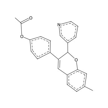 CC(=O)Oc1ccc(C2=Cc3ccc(C)cc3OC2c2cccnc2)cc1